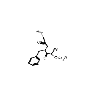 CCOC(=O)C(CC)C(=O)C(CC(=O)OC(C)(C)C)Cc1ccccc1